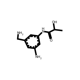 CC(O)C(=O)Nc1cc(N)cc(CN)c1